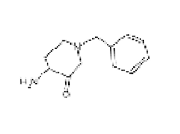 NC1CCN(Cc2ccccc2)CC1=O